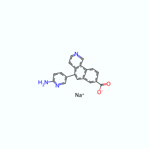 Nc1ccc(-c2cc3cc(C(=O)[O-])ccc3c3cnccc23)cn1.[Na+]